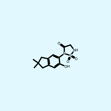 CC1(C)Cc2cc(O)c(N3C(=O)CNS3(=O)=O)cc2C1